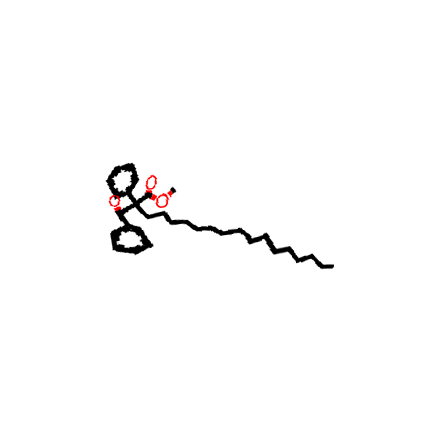 CCCCCCCCCCCCCCCCC(C(=O)OC)(C(=O)c1ccccc1)c1ccccc1